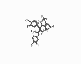 CC(N)C(c1ccc(Cl)c(F)c1)(C(N)Cc1ccc(F)c(Cl)c1)C(N)c1ccc(F)cc1C(F)(F)F